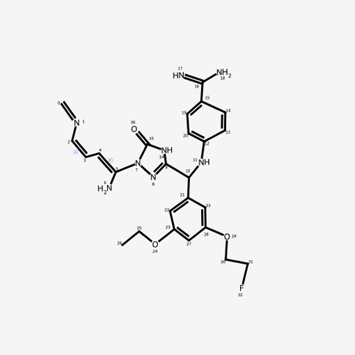 C=N/C=C\C=C(/N)n1nc(C(Nc2ccc(C(=N)N)cc2)c2cc(OCC)cc(OCCF)c2)[nH]c1=O